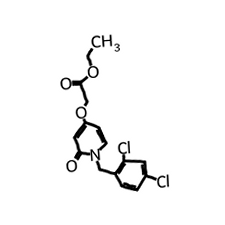 CCOC(=O)COc1ccn(Cc2ccc(Cl)cc2Cl)c(=O)c1